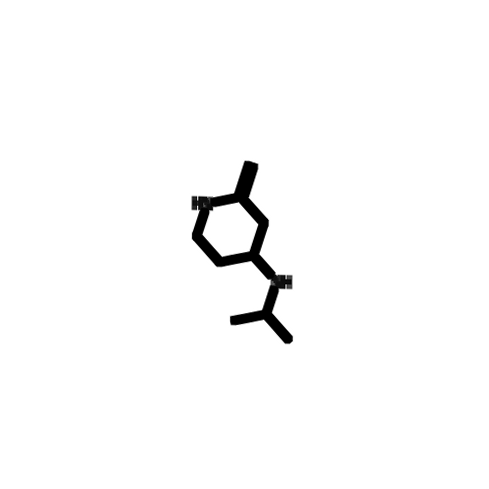 C=C1CC(NC(C)C)CCN1